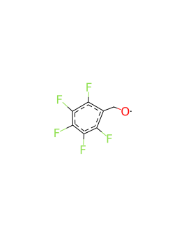 [O]Cc1c(F)c(F)c(F)c(F)c1F